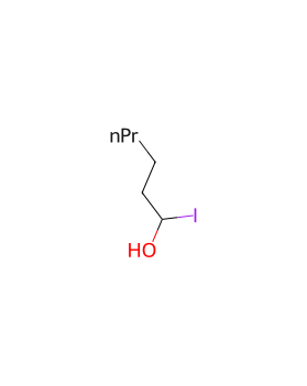 CCCCCC(O)I